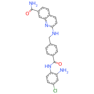 NC(=O)c1ccc2ccc(NCc3ccc(C(=O)Nc4ccc(Cl)cc4N)cc3)nc2c1